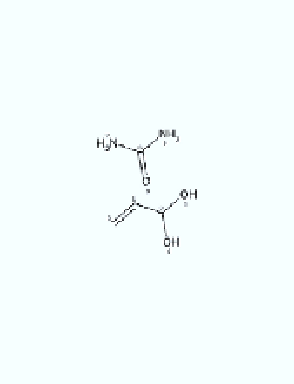 C=CC(O)O.NC(N)=O